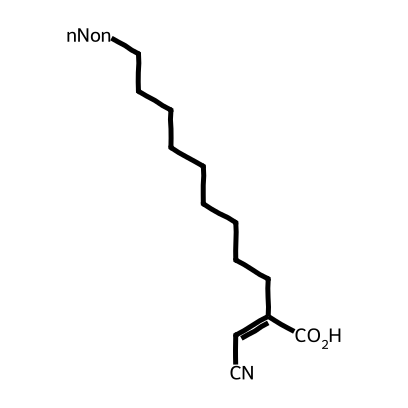 CCCCCCCCCCCCCCCCCCC(=CC#N)C(=O)O